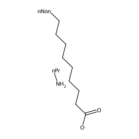 CCCCCCCCCCCCCCCCCC([O])=O.CCCN